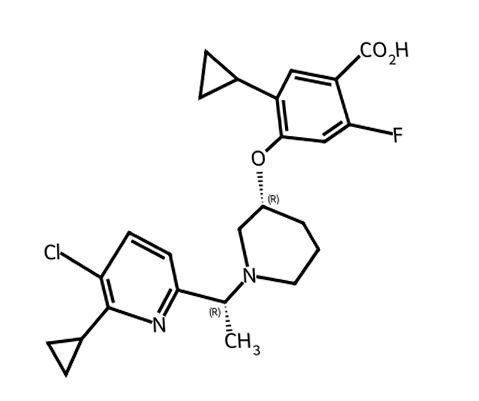 C[C@H](c1ccc(Cl)c(C2CC2)n1)N1CCC[C@@H](Oc2cc(F)c(C(=O)O)cc2C2CC2)C1